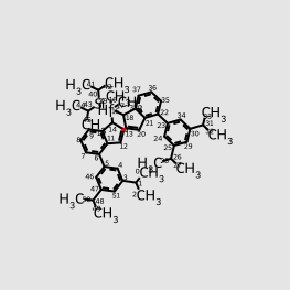 CC(C)c1cc(-c2cccc3c2C=C[CH]3[Hf]([CH3])([CH3])([CH]2C=Cc3c(-c4cc(C(C)C)cc(C(C)C)c4)cccc32)=[Si](C(C)C)C(C)C)cc(C(C)C)c1